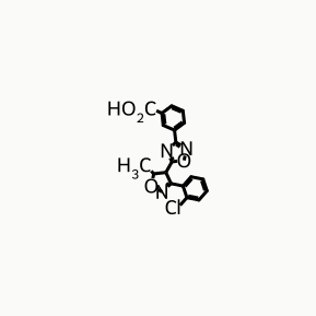 CC1ON=C(c2ccccc2Cl)C1c1nc(-c2cccc(C(=O)O)c2)no1